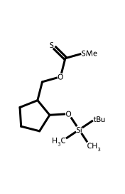 CSC(=S)OCC1CCCC1O[Si](C)(C)C(C)(C)C